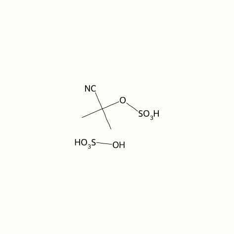 CC(C)(C#N)OS(=O)(=O)O.O=S(=O)(O)O